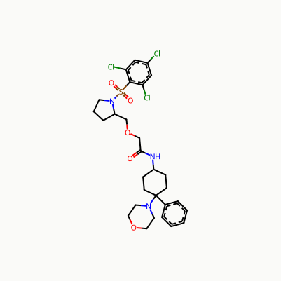 O=C(COCC1CCCN1S(=O)(=O)c1c(Cl)cc(Cl)cc1Cl)NC1CCC(c2ccccc2)(N2CCOCC2)CC1